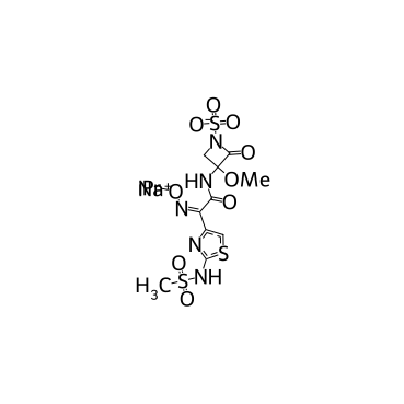 COC1(NC(=O)C(=NOC(C)C)c2csc(NS(C)(=O)=O)n2)CN(S(=O)(=O)[O-])C1=O.[Na+]